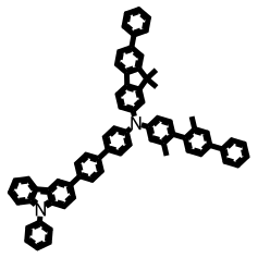 Cc1cc(-c2ccccc2)ccc1-c1ccc(N(c2ccc(-c3ccc(-c4ccc5c(c4)c4ccccc4n5-c4ccccc4)cc3)cc2)c2ccc3c(c2)C(C)(C)c2cc(-c4ccccc4)ccc2-3)cc1C